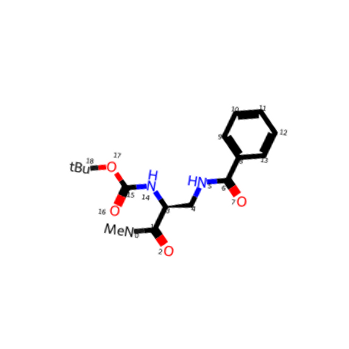 CNC(=O)[C@H](CNC(=O)c1ccccc1)NC(=O)OC(C)(C)C